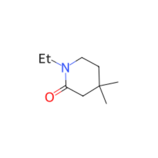 CCN1CCC(C)(C)CC1=O